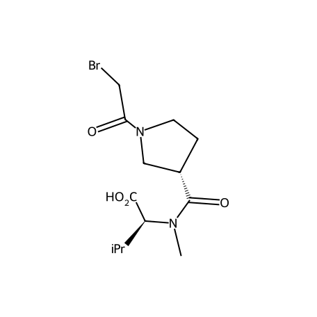 CC(C)[C@@H](C(=O)O)N(C)C(=O)[C@H]1CCN(C(=O)CBr)C1